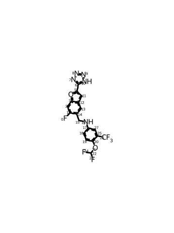 Fc1cc2oc(-c3nnn[nH]3)cc2cc1CNc1ccc(OC(F)F)c(C(F)(F)F)c1